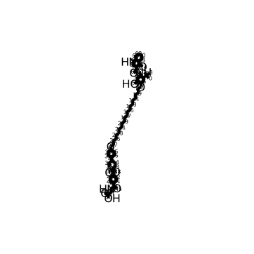 CC(C)(C)c1cc(OCCCCCCCCCCCCCCCCCCCCOc2ccc(C3CCN(S(=O)(=O)c4ccc(C(=O)NCC(=O)O)cc4)CC3)cc2)c(O)cc1NC(=O)c1c[nH]c2ccccc2c1=O